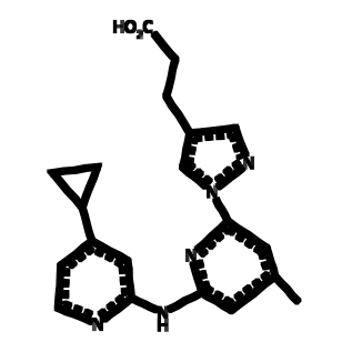 Cc1cc(Nc2cc(C3CC3)ccn2)nc(-n2cc(CCC(=O)O)cn2)c1